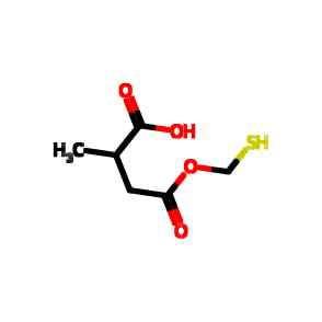 CC(CC(=O)OCS)C(=O)O